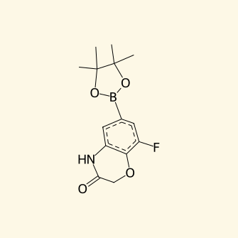 CC1(C)OB(c2cc(F)c3c(c2)NC(=O)CO3)OC1(C)C